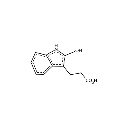 O=C(O)CCc1c(O)[nH]c2ccccc12